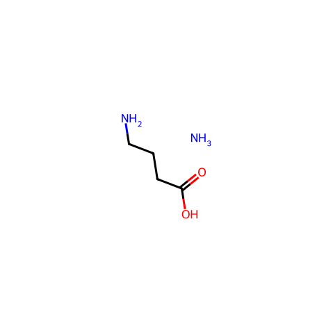 N.NCCCC(=O)O